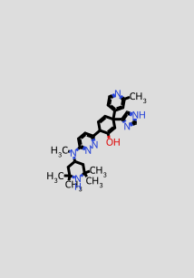 Cc1cc(C2(c3c[nH]cn3)C=CC(c3ccc(N(C)C4CC(C)(C)NC(C)(C)C4)nn3)C(O)=C2)ccn1